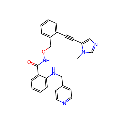 Cn1cncc1C#Cc1ccccc1CONC(=O)c1ccccc1NCc1ccncc1